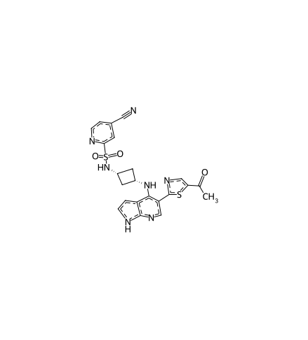 CC(=O)c1cnc(-c2cnc3[nH]ccc3c2N[C@H]2C[C@@H](NS(=O)(=O)c3cc(C#N)ccn3)C2)s1